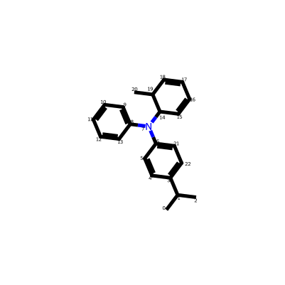 CC(C)c1ccc(N(c2ccccc2)C2C=CC=CC2C)cc1